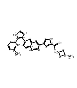 Cc1cccc(-c2[nH]cnc2-c2ccc3ncc(-c4csc(C(=O)O[C@H]5C[C@@H](N)C5)c4)cc3c2)n1